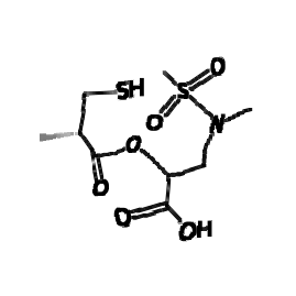 C[C@H](CS)C(=O)OC(CN(C)S(C)(=O)=O)C(=O)O